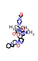 CC(=O)OCc1c(-c2cn(C)c(=O)c(N[C@@H](C)C(C)N3CCN(C4COC4)CC3)n2)ccnc1N1CCn2c(cc3c2CCCC3)C1=O